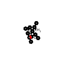 Cc1cc(-c2ccccc2)ccc1-c1cc2c(cc1-c1cccc3c1[nH]c1ccccc13)N(c1ccccc1C1CCC(c3ccccc3)CC1)c1ccccc1-c1c-2ccc2c1oc1ccccc12